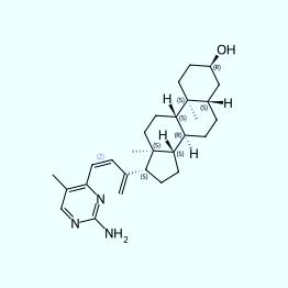 C=C(/C=C\c1nc(N)ncc1C)[C@H]1CC[C@H]2[C@@H]3CC[C@H]4C[C@H](O)CC[C@]4(C)[C@H]3CC[C@]12C